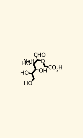 O=C[C@H](OCC(=O)O)[C@@H](O)[C@H](O)[C@H](O)CO.[NaH]